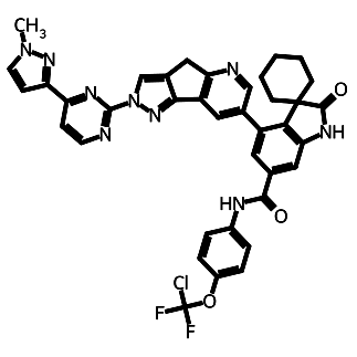 Cn1ccc(-c2ccnc(-n3cc4c(n3)-c3cc(-c5cc(C(=O)Nc6ccc(OC(F)(F)Cl)cc6)cc6c5C5(CCCCC5)C(=O)N6)cnc3C4)n2)n1